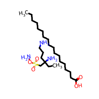 CCC(N)(CCCN)CS(=O)(=O)ON.CCCCCCCCCCCCCCCCCC(=O)O